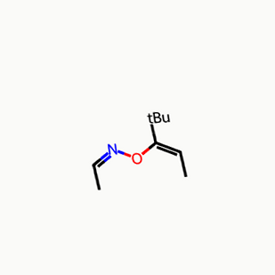 C/C=N\O/C(=C\C)C(C)(C)C